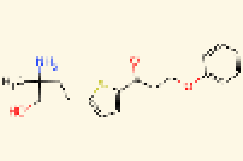 CC(N)(CO)CCc1ccc(C(=O)CCOc2ccccc2)s1